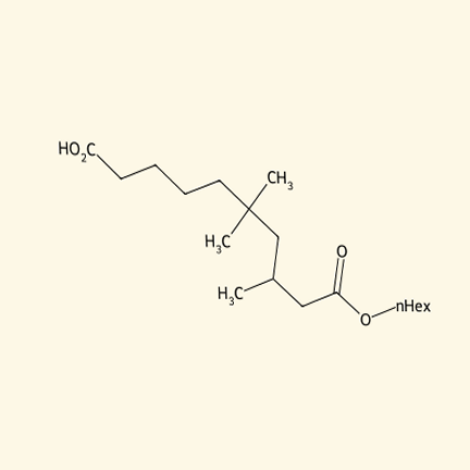 CCCCCCOC(=O)CC(C)CC(C)(C)CCCCC(=O)O